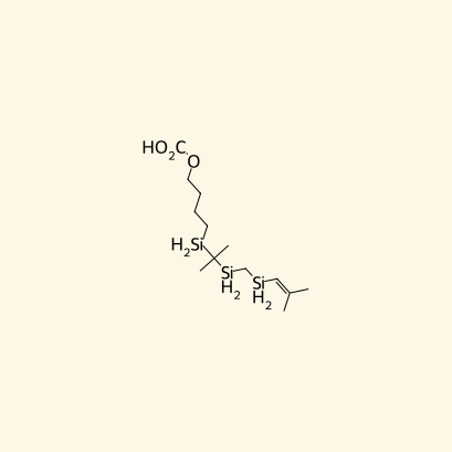 CC(C)=C[SiH2]C[SiH2]C(C)(C)[SiH2]CCCCOC(=O)O